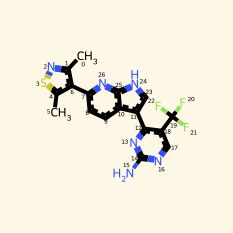 Cc1nsc(C)c1-c1ccc2c(-c3nc(N)ncc3C(F)(F)F)c[nH]c2n1